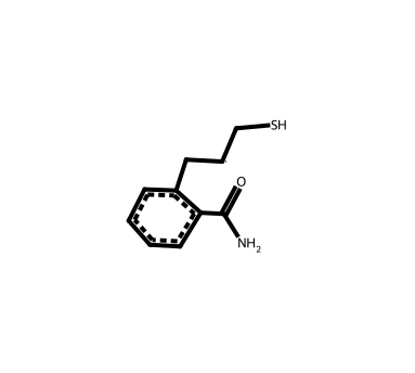 NC(=O)c1ccccc1C[CH]CS